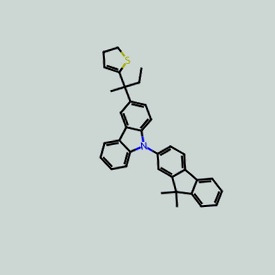 CCC(C)(C1=CCCS1)c1ccc2c(c1)c1ccccc1n2-c1ccc2c(c1)C(C)(C)c1ccccc1-2